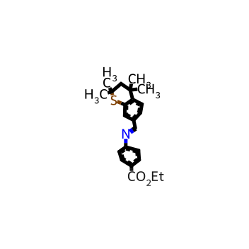 CCOC(=O)c1ccc(N=Cc2ccc3c(c2)SC(C)(C)CC3(C)C)cc1